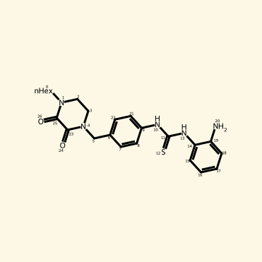 CCCCCCN1CCN(Cc2ccc(NC(=S)Nc3ccccc3N)cc2)C(=O)C1=O